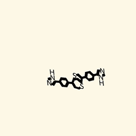 C1=C2SCC=C(c3ccc(-c4cnc[nH]4)cc3)C1SC=C2c1ccc(-c2cnc[nH]2)cc1